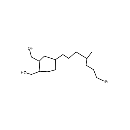 CC(C)CCCC(C)CCCC1CCC(CO)C(CO)C1